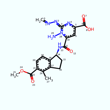 C=N/N=c1/nc(C(=O)O)cc(C(=O)N[C@H]2CCc3c2ccc(C(=O)OC)c3C)n1N